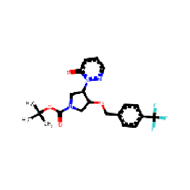 CC(C)(C)OC(=O)N1CC(OCc2ccc(C(F)(F)F)cc2)C(n2ncccc2=O)C1